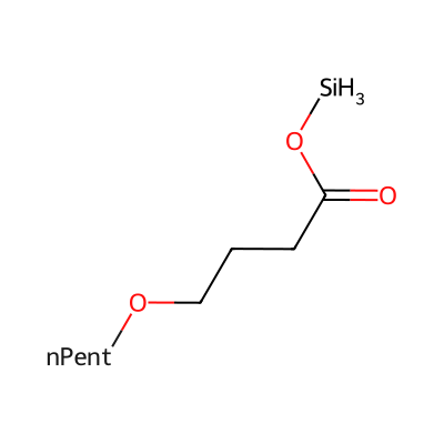 CCCCCOCCCC(=O)O[SiH3]